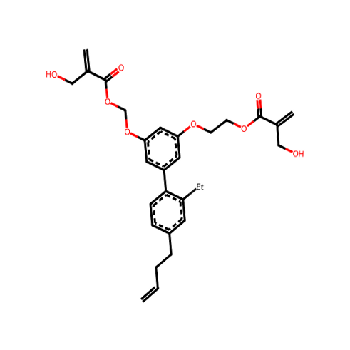 C=CCCc1ccc(-c2cc(OCCOC(=O)C(=C)CO)cc(OCOC(=O)C(=C)CO)c2)c(CC)c1